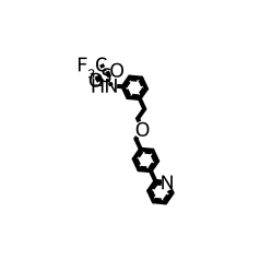 O=S(=O)(Nc1cccc(CCOCc2ccc(-c3ccccn3)cc2)c1)C(F)(F)F